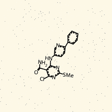 CSc1nc(Cl)c(C(N)=O)c(Nc2ccc(-c3ccccc3)nc2)n1